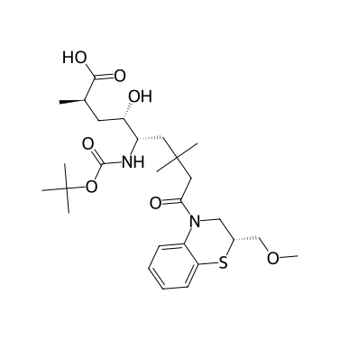 COC[C@H]1CN(C(=O)CC(C)(C)C[C@H](NC(=O)OC(C)(C)C)[C@@H](O)C[C@@H](C)C(=O)O)c2ccccc2S1